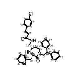 O=C(/C=C/c1ccc(Cl)cc1)NC[C@@H]1CCN(CC(c2ccccc2)c2ccccc2)C(=O)[C@H](Cc2ccccn2)N1